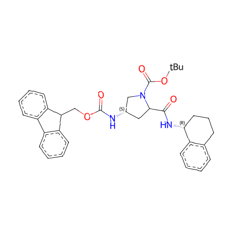 CC(C)(C)OC(=O)N1C[C@@H](NC(=O)OCC2c3ccccc3-c3ccccc32)CC1C(=O)N[C@@H]1CCCc2ccccc21